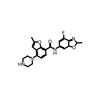 Cc1cc2c(N3CCNCC3)ccc(C(=O)NC3=CC4OC(C)N=C4C(F)=C3)c2o1